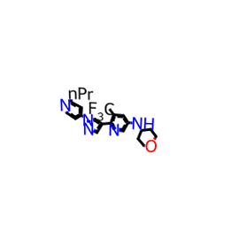 CCCc1cc(-n2cc(-c3ncc(NC4CCOCC4)cc3C(F)(F)F)cn2)ccn1